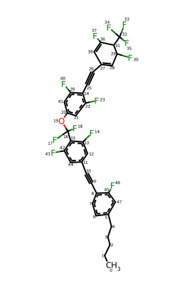 CCCCCc1ccc(C#Cc2cc(F)c(C(F)(F)Oc3cc(F)c(C#CC4=CC(F)C(C(F)(F)F)C(F)=C4)c(F)c3)c(F)c2)c(F)c1